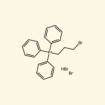 Br.BrCCC[P+](c1ccccc1)(c1ccccc1)c1ccccc1.[Br-]